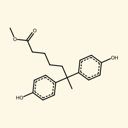 COC(=O)CCCCC(C)(c1ccc(O)cc1)c1ccc(O)cc1